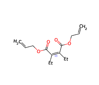 C=CCOC(=O)/C(CC)=C(/CC)C(=O)OCC=C